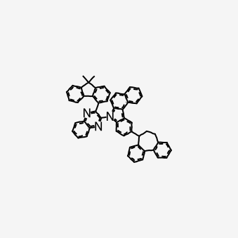 CC1(C)c2ccccc2-c2c(-c3nc4ccccc4nc3-n3c4ccc(C5CCc6ccccc6-c6ccccc65)cc4c4c5ccccc5ccc43)cccc21